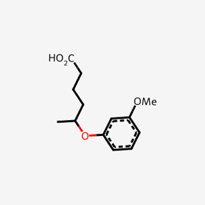 COc1cccc(OC(C)CCCC(=O)O)c1